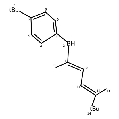 C/C(Bc1ccc(C(C)(C)C)cc1)=C\C=C(/C)C(C)(C)C